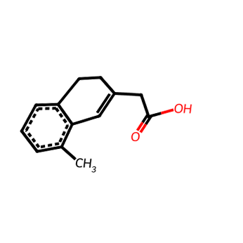 Cc1cccc2c1C=C(CC(=O)O)CC2